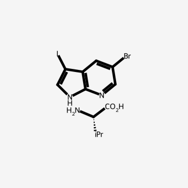 Brc1cnc2[nH]cc(I)c2c1.CC(C)[C@H](N)C(=O)O